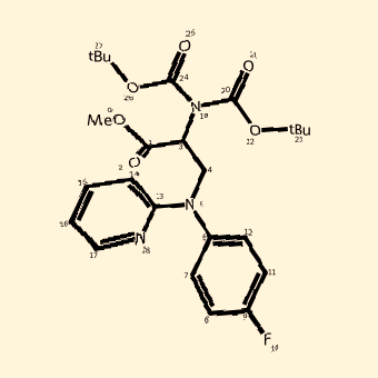 COC(=O)C(CN(c1ccc(F)cc1)c1ccccn1)N(C(=O)OC(C)(C)C)C(=O)OC(C)(C)C